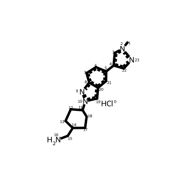 Cl.Cn1cc(-c2ccc3nn(C4CCC(CN)CC4)cc3c2)cn1